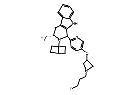 C[C@@H]1Cc2c([nH]c3ccccc23)[C@@H](c2ccc(OC3CN(CCCF)C3)cn2)N1C12CCC1CC2